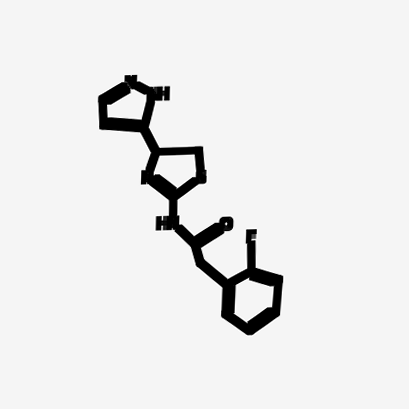 O=C(Cc1ccccc1F)NC1=NC(c2ccn[nH]2)CS1